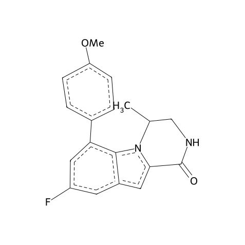 COc1ccc(-c2cc(F)cc3cc4n(c23)C(C)CNC4=O)cc1